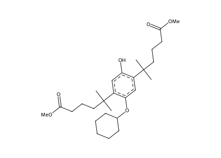 COC(=O)CCCC(C)(C)c1cc(OC2CCCCC2)c(C(C)(C)CCCC(=O)OC)cc1O